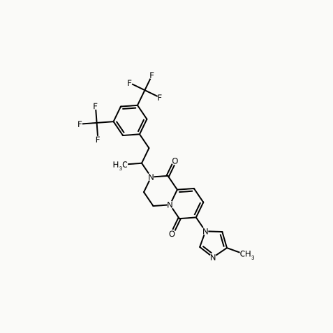 Cc1cn(-c2ccc3n(c2=O)CCN(C(C)Cc2cc(C(F)(F)F)cc(C(F)(F)F)c2)C3=O)cn1